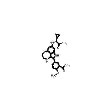 COc1ccc(-c2[nH]c3cc(N[C@H](C(N)=O)C4CC4)cc4c3c2NCCO4)cc1C(N)=O